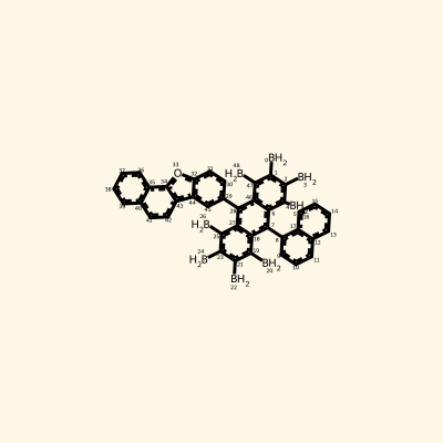 Bc1c(B)c(B)c2c(-c3cccc4ccccc34)c3c(B)c(B)c(B)c(B)c3c(-c3ccc4oc5c6ccccc6ccc5c4c3)c2c1B